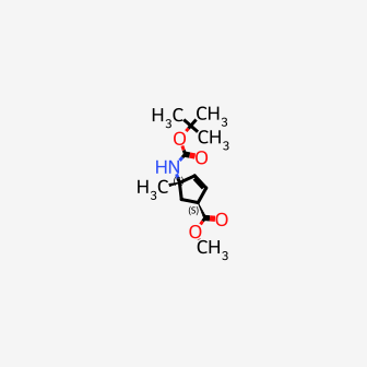 COC(=O)[C@@H]1C=C[C@@](C)(NC(=O)OC(C)(C)C)C1